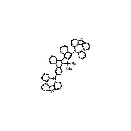 CC(C)(C)C1(C(C)(C)C)c2cc(N(c3ccccc3)c3cccc4oc5ccccc5c34)c3ccccc3c2-c2c1c1ccc(N(c3ccccc3)c3cccc4oc5ccccc5c34)cc1c1ccccc21